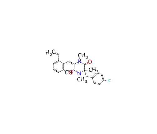 C=Cc1cccc(C#N)c1C=C1C(=O)N(C)C(C)(Cc2ccc(F)cc2)C(=O)N1C